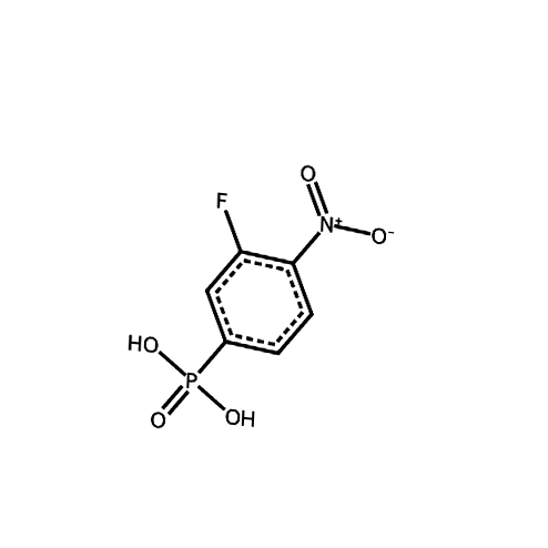 O=[N+]([O-])c1ccc(P(=O)(O)O)cc1F